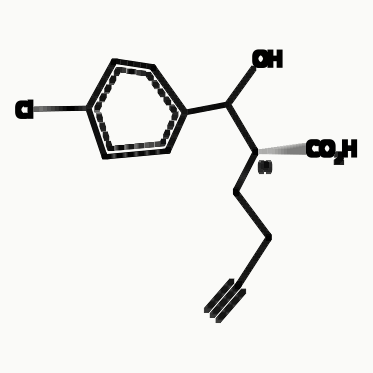 C#CCC[C@@H](C(=O)O)C(O)c1ccc(Cl)cc1